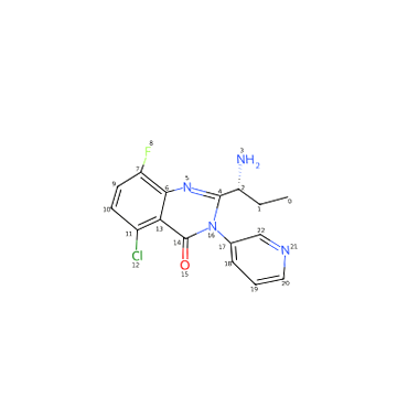 CC[C@@H](N)c1nc2c(F)ccc(Cl)c2c(=O)n1-c1cccnc1